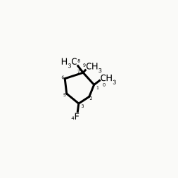 CC1CC(F)CCC1(C)C